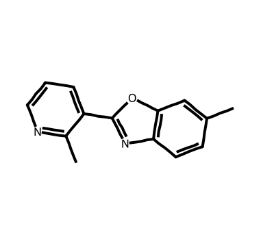 Cc1ccc2nc(-c3cccnc3C)oc2c1